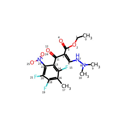 CCOC(=O)C(=CNN(C)C)C(=O)c1c(F)c(C)c(F)c(F)c1[N+](=O)[O-]